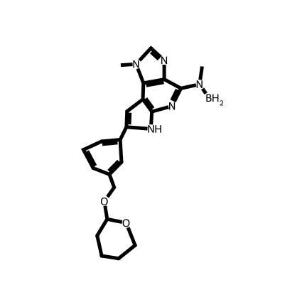 BN(C)c1nc2[nH]c(-c3cccc(COC4CCCCO4)c3)cc2c2c1ncn2C